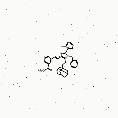 COC(=O)c1cccc(C=Cc2nc(-c3ccccc3C)n(Cc3ccccc3)c2CCC23CC4CC(CC(C4)C2)C3)c1